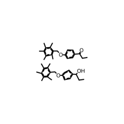 CCC(=O)c1ccc(OCc2c(C)c(C)c(C)c(C)c2C)cc1.CCC(O)c1ccc(OCc2c(C)c(C)c(C)c(C)c2C)cc1